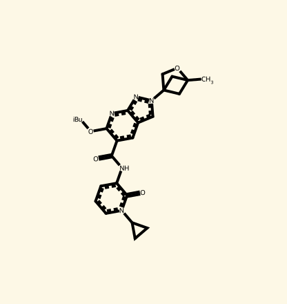 CCC(C)Oc1nc2nn(C34COC(C)(C3)C4)cc2cc1C(=O)Nc1cccn(C2CC2)c1=O